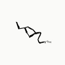 [CH]=Cc1ccc(CCCCCCC)cc1